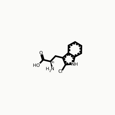 N[C@H](Cc1c(Cl)[nH]c2ccccc12)C(=O)O